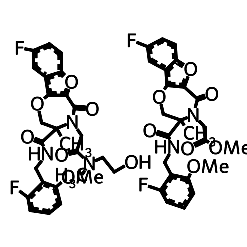 COC(=O)CN1C(=O)c2oc3ccc(F)cc3c2OCC1(C)C(=O)NCc1c(F)cccc1OC.COc1cccc(F)c1CNC(=O)C1(C)COc2c(oc3ccc(F)cc23)C(=O)N1CC(=O)N(C)CCO